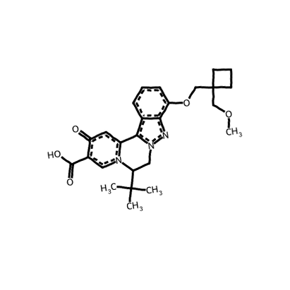 COCC1(COc2cccc3c4n(nc23)CC(C(C)(C)C)n2cc(C(=O)O)c(=O)cc2-4)CCC1